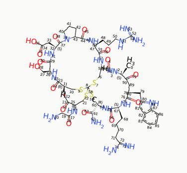 C[C@@H]1NC(=O)[C@@H]2CSC3(SC[C@H](CC(=O)[C@@H](NC(=O)CN)CS3)C(=O)N[C@@H](CO)C(=O)N[C@@H](CC(=O)O)C(=O)N3CCCC3C(=O)N[C@@H](CCCNC(=N)N)C(=O)N2)SC[C@@H](C(N)=O)NC(=O)[C@H](CCCCC(=N)N)NC(=O)[C@H](Cc2cc3ccccc3[nH]2)CC1=O